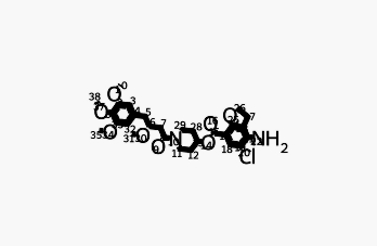 COc1cc(CC(CC(=O)N2CCC(OC(=O)c3cc(Cl)c(N)c4c3OCC4)CC2)OC)cc(OC)c1OC